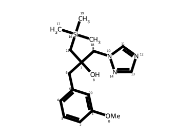 COc1cccc(CC(O)(Cn2cncn2)C[Si](C)(C)C)c1